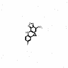 O=[N+]([O-])c1ccc(Nc2ccc(F)cc2C2CC2)c2nonc12